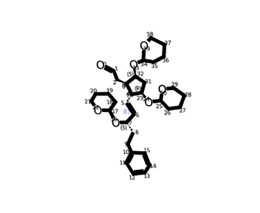 O=CC[C@@H]1[C@@H](/C=C/[C@H](CCc2ccccc2)OC2CCCCO2)[C@H](OC2CCCCO2)C[C@@H]1OC1CCCCO1